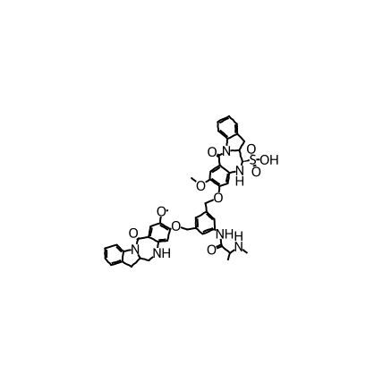 CNC(C)C(=O)Nc1cc(COc2cc3c(cc2OC)C(=O)N2c4ccccc4CC2CN3)cc(COc2cc3c(cc2OC)C(=O)N2c4ccccc4CC2[C@@H](S(=O)(=O)O)N3)c1